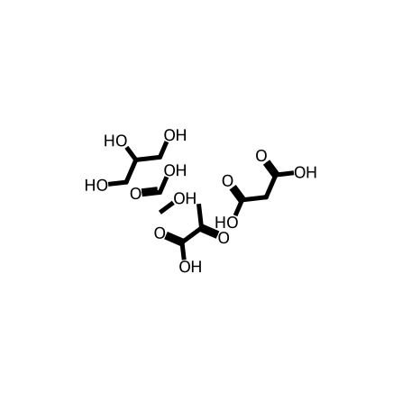 CC(=O)C(=O)O.CO.O=C(O)CC(=O)O.O=CO.OCC(O)CO